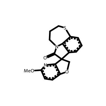 COc1ccc2c(n1)C1(CO2)C(=O)N2CCCSc3cccc1c32